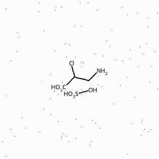 NCC(Cl)C(=O)O.O=S(=O)(O)O